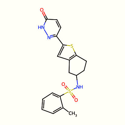 Cc1ccccc1S(=O)(=O)NC1CCc2sc(-c3ccc(=O)[nH]n3)cc2C1